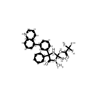 CN1C(=O)C(c2ccccc2)(c2cccc(-c3cccc4ncccc34)c2)NC1(N)OC(=O)C(F)(F)F